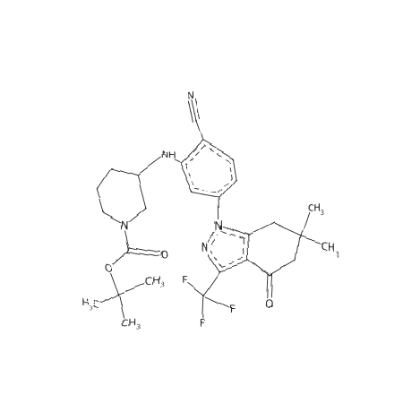 CC1(C)CC(=O)c2c(C(F)(F)F)nn(-c3ccc(C#N)c(NC4CCCN(C(=O)OC(C)(C)C)C4)c3)c2C1